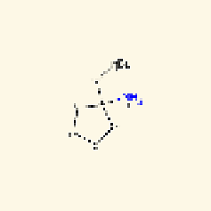 CCCCCC1(N)CCCC1